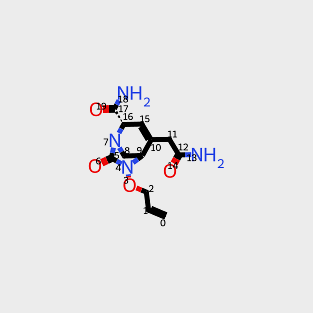 C=CCON1C(=O)N2CC1C(CC(N)=O)=C[C@H]2C(N)=O